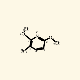 CCOc1ccc(Br)c(OCC)n1